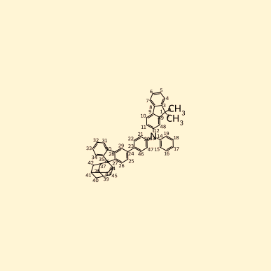 CC1(C)c2ccccc2-c2ccc(N(c3ccccc3)c3ccc(-c4ccc5c(c4)-c4ccccc4C54C5CC6CC(C5)CC4C6)cc3)cc21